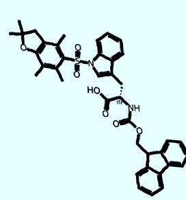 Cc1c(C)c(S(=O)(=O)n2cc(C[C@H](NC(=O)OCC3c4ccccc4-c4ccccc43)C(=O)O)c3ccccc32)c(C)c2c1OC(C)(C)C2